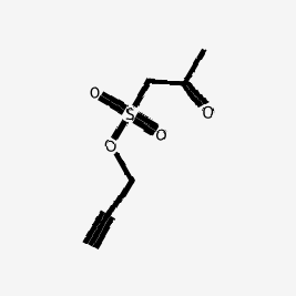 C#CCOS(=O)(=O)CC(C)=O